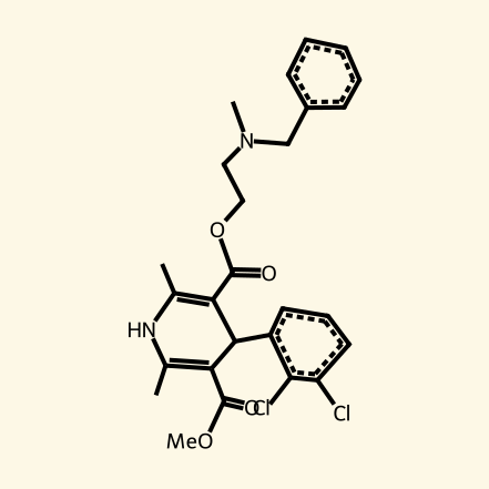 COC(=O)C1=C(C)NC(C)=C(C(=O)OCCN(C)Cc2ccccc2)C1c1cccc(Cl)c1Cl